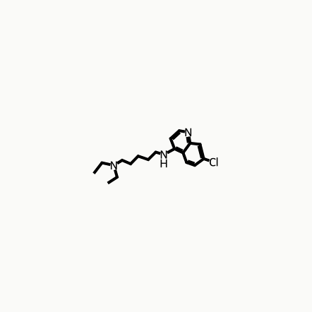 CCN(CC)CCCCCNc1ccnc2cc(Cl)ccc12